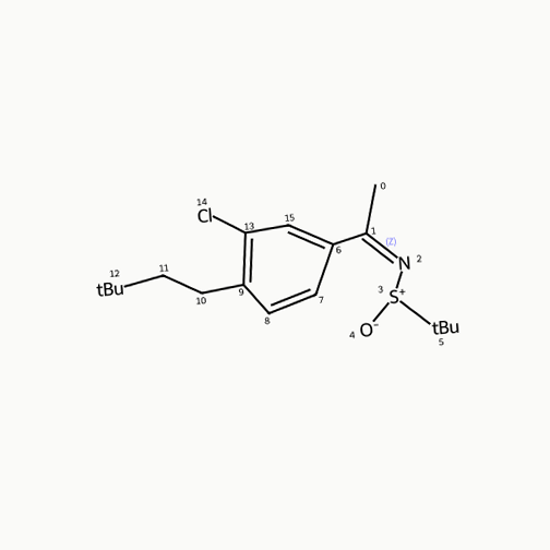 C/C(=N/[S+]([O-])C(C)(C)C)c1ccc(CCC(C)(C)C)c(Cl)c1